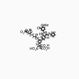 COc1ccc(CNc2nc(N3CCC[C@H]3COC(=O)CCC[C@@H](CO[N+](=O)[O-])O[N+](=O)[O-])ncc2C(=O)NCc2ncccn2)cc1Cl.O=C(O)CC(O)(CC(=O)O)C(=O)O